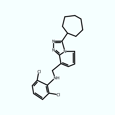 Clc1cccc(Cl)c1NCc1cccn2c(C3CCCCCC3)nnc12